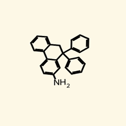 Nc1ccc2c(c1)C(c1ccccc1)(c1ccccc1)Cc1ccccc1-2